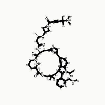 CCn1c(-c2cccnc2[C@H](C)OC)c2c3cc(ccc31)-c1csc(n1)C[C@H](NC(=O)C[C@H](C)OC1CN(C(=O)C#CC(C)(C)N(C)C)C1)C(=O)N1CCC[C@H](N1)C(=O)OCC(C)(C)C2